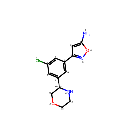 Nc1cc(-c2cc(Cl)cc([C@@H]3COCCN3)c2)no1